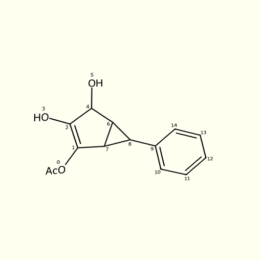 CC(=O)OC1=C(O)C(O)C2C1C2c1ccccc1